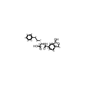 O=C(N[C@@H](CCCc1ccccc1)C(=O)O)c1ccc2c(c1)B(O)OC2